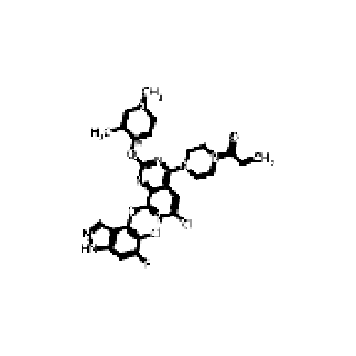 C=CC(=O)N1CCN(c2nc(O[C@@H]3CCN(C)CC3C)nc3c(Oc4c(Cl)c(F)cc5[nH]ncc45)nc(Cl)cc23)CC1